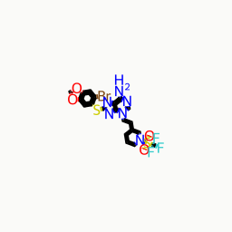 Nc1ncn(CCC2CCCN(S(=O)(=O)C(F)(F)F)C2)c2nc(Sc3cc4c(cc3Br)OCO4)nc1-2